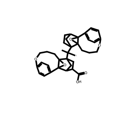 [CH]C(C)(C12CCC(C1)C13OC12CCCOc1ccc3cc1)C12CC(C(=O)O)C(C1)C13OC12CCCOc1ccc3cc1